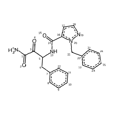 NC(=O)C(=O)C(Cc1ccccc1)NC(=O)c1ccnn1Cc1ccccc1